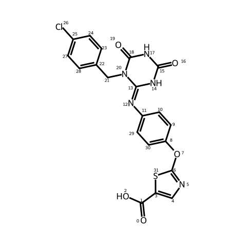 O=C(O)c1cnc(Oc2ccc(/N=c3\[nH]c(=O)[nH]c(=O)n3Cc3ccc(Cl)cc3)cc2)s1